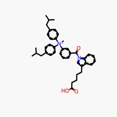 CC(C)Cc1ccc([N+](C)(c2ccc(CC(C)C)cc2)c2cccc(C(=O)n3cc(CCCCC(=O)O)c4ccccc43)c2)cc1